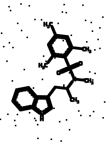 Cc1cc(C)c(S(=O)(=O)N(C)C(C)Cc2c[nH]c3ccccc23)c(C)c1